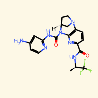 C[C@@H](NC(=O)c1ccc2c(n1)N(C(=O)Nc1cc(N)ccn1)[C@H]1CCN2C1)C(F)(F)F